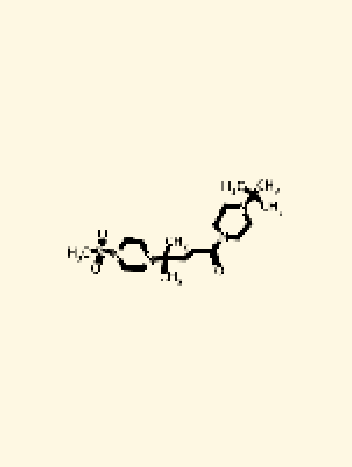 CC(C)(C)N1CCN(C(=O)CCC(C)(C)N2CCN(S(C)(=O)=O)CC2)CC1